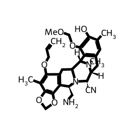 C=CCOc1c(C)c2c(c3c1CC1[C@@H]4c5c(cc(C)c(O)c5OCOC)C[C@H]([C@H](C#N)N1[C@H]3CN)N4C)OCO2